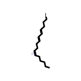 CCCCC/C=C\CCC=CC=CCCCI